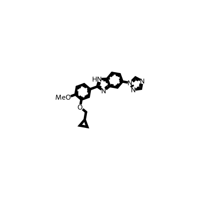 COc1ccc(-c2nc3cc(-n4cncn4)ccc3[nH]2)cc1OCC1CC1